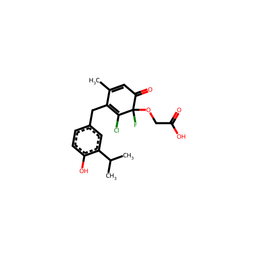 CC1=CC(=O)C(F)(OCC(=O)O)C(Cl)=C1Cc1ccc(O)c(C(C)C)c1